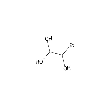 [CH2]CC(O)[C](O)O